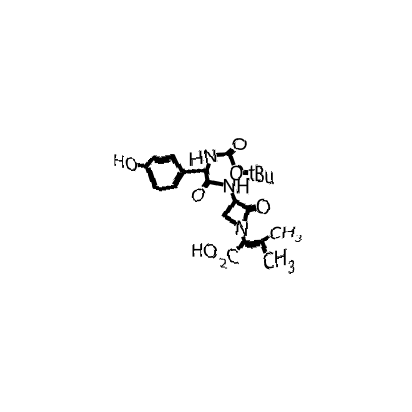 CC(C)=C(C(=O)O)N1CC(NC(=O)C(NC(=O)OC(C)(C)C)c2ccc(O)cc2)C1=O